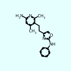 Cc1cc(N)nc(C)c1CCc1coc(Nc2ccccc2)n1